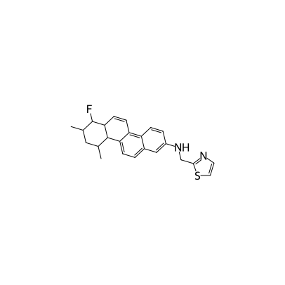 CC1CC(C)C2c3ccc4cc(NCc5nccs5)ccc4c3C=CC2C1F